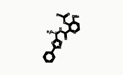 COc1ccnc(C(=O)N[C@@H](C)c2nnc(-c3ccccc3)o2)c1OC(=O)C(C)C